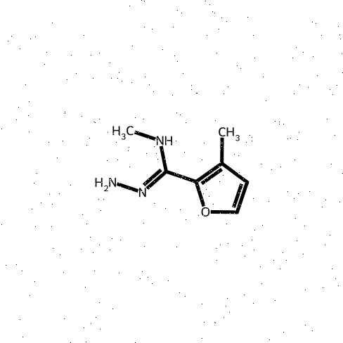 CN/C(=N\N)c1occc1C